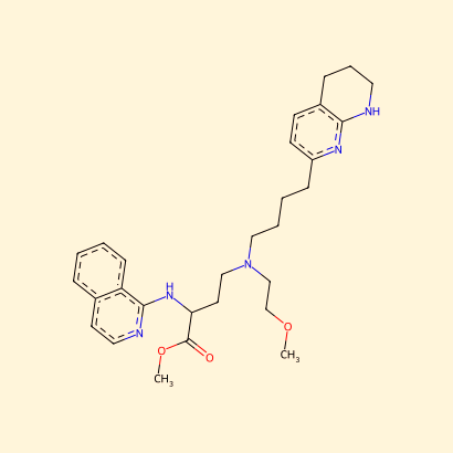 COCCN(CCCCc1ccc2c(n1)NCCC2)CCC(Nc1nccc2ccccc12)C(=O)OC